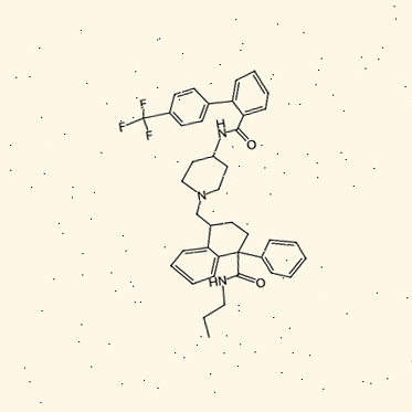 CCCNC(=O)C1(c2ccccc2)CCC(CN2CCC(NC(=O)c3ccccc3-c3ccc(C(F)(F)F)cc3)CC2)c2ccccc21